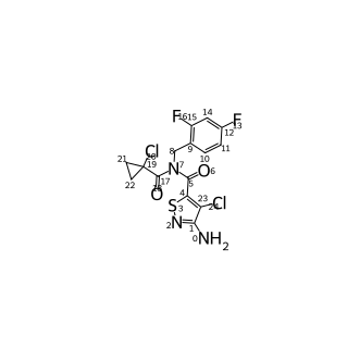 Nc1nsc(C(=O)N(Cc2ccc(F)cc2F)C(=O)C2(Cl)CC2)c1Cl